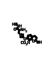 N[C@@H](CN1CC(Oc2ccc3c(c2C(=O)O)OB(O)CC3)C1)C(=O)NO